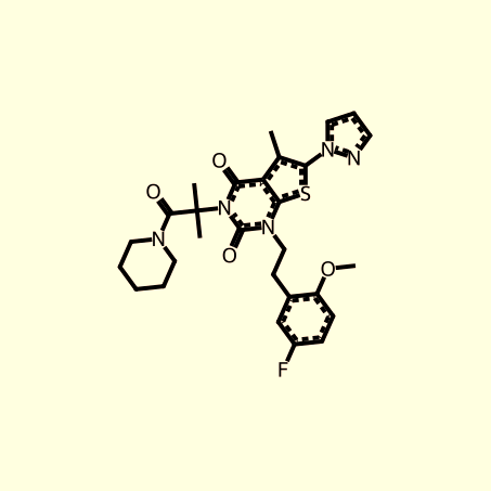 COc1ccc(F)cc1CCn1c(=O)n(C(C)(C)C(=O)N2CCCCC2)c(=O)c2c(C)c(-n3cccn3)sc21